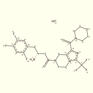 Cl.N[C@@H](CC(=O)N1CCn2c(C(F)(F)F)nc(C(=O)N3CCOCC3)c2C1)Cc1cc(F)c(F)cc1F